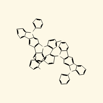 N#Cc1ccc(-n2c3ccccc3c3cc4c5ccccc5n(-c5ccccc5)c4cc32)c(-c2cc(-c3c(C(F)(F)F)cccc3C(F)(F)F)ccc2-n2c3ccccc3c3cc4c5ccccc5n(-c5ccccc5)c4cc32)c1